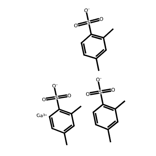 Cc1ccc(S(=O)(=O)[O-])c(C)c1.Cc1ccc(S(=O)(=O)[O-])c(C)c1.Cc1ccc(S(=O)(=O)[O-])c(C)c1.[Ga+3]